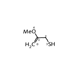 C=C(CS)OC